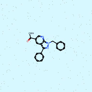 COC(=O)c1cnc2c(c1)c(-c1ccccc1)nn2Cc1ccccc1